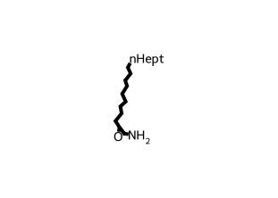 CCCCCCCCCCCCCCCCC1OC1N